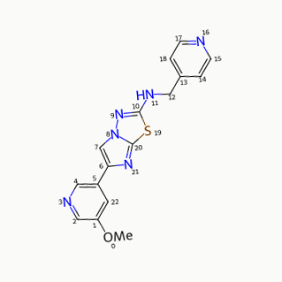 COc1cncc(-c2cn3nc(NCc4ccncc4)sc3n2)c1